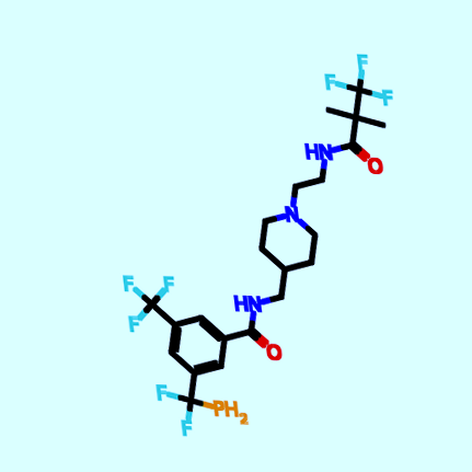 CC(C)(C(=O)NCCN1CCC(CNC(=O)c2cc(C(F)(F)F)cc(C(F)(F)P)c2)CC1)C(F)(F)F